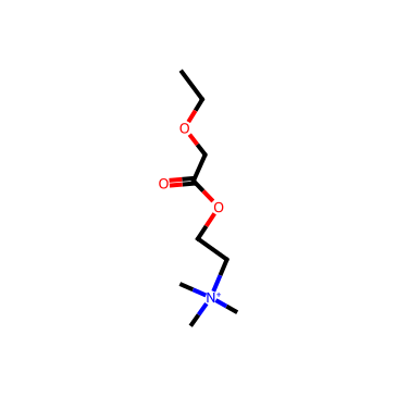 CCOCC(=O)OCC[N+](C)(C)C